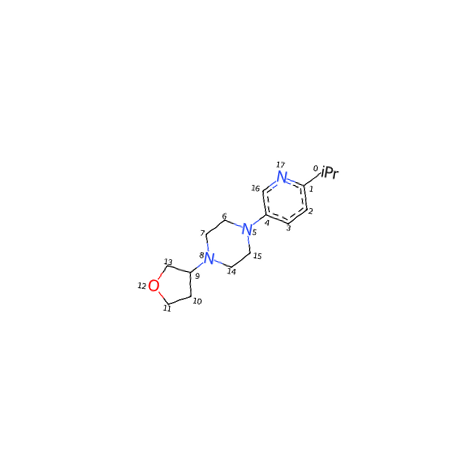 CC(C)c1ccc(N2CCN(C3CCOC3)CC2)cn1